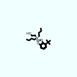 CCCC[N+](CCO)(CCCC)[Sb]1[O]c2cccc(C(C)(C)C)c2[O]1